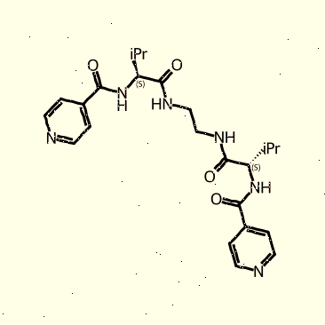 CC(C)[C@H](NC(=O)c1ccncc1)C(=O)NCCNC(=O)[C@@H](NC(=O)c1ccncc1)C(C)C